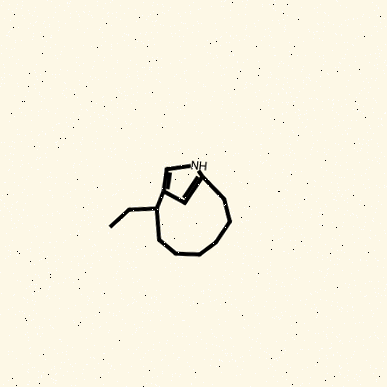 CCC1CCCCCCc2cc1c[nH]2